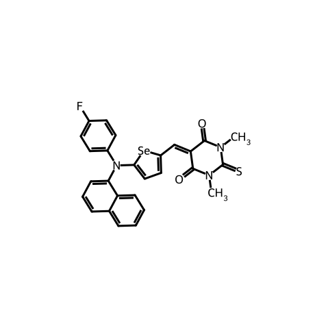 CN1C(=O)C(=Cc2ccc(N(c3ccc(F)cc3)c3cccc4ccccc34)[se]2)C(=O)N(C)C1=S